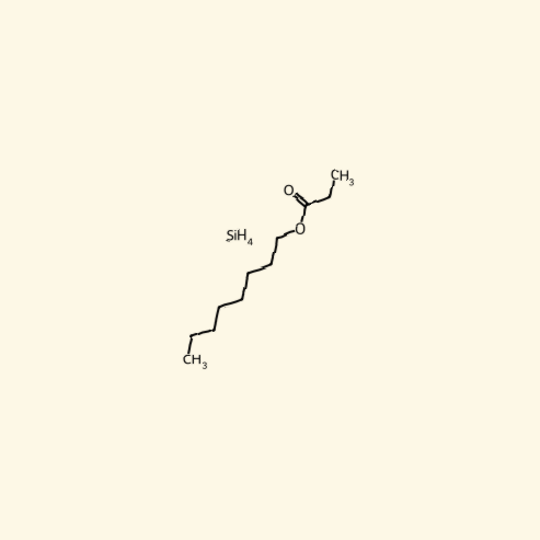 CCCCCCCCOC(=O)CC.[SiH4]